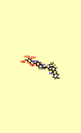 COc1cc(C(=O)N[C@@H]2[C@@H](O)[C@H](O)[C@@H](CO)O[C@H]2O)ccc1NCC#Cc1cc2c(N[C@@H]3CCN(C)C[C@@H]3F)cccc2n1CC(F)(F)F